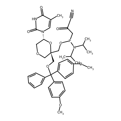 COc1ccc(C(OC[C@@]2(COP(CC(=O)C#N)N(C(C)C)C(C)C)COC[C@H](n3cc(C)c(=O)[nH]c3=O)O2)(c2ccccc2)c2ccc(OC)cc2)cc1